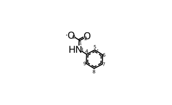 [O]C(=O)Nc1[c]cccc1